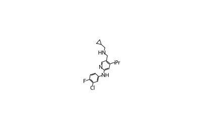 CC(C)c1cc(Nc2ccc(F)c(Cl)c2)ncc1CNCC1CC1